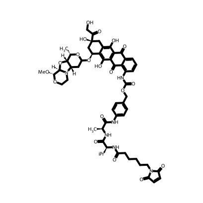 CO[C@H]1OCCN2[C@@H]1O[C@@H]1[C@H](C)OC(O[C@H]3C[C@](O)(C(=O)CO)Cc4c(O)c5c(c(O)c43)C(=O)c3c(NC(=O)OCc4ccc(NC(=O)[C@H](C)NC(=O)[C@@H](NC(=O)CCCCCN6C(=O)C=CC6=O)C(C)C)cc4)cccc3C5=O)C[C@@H]12